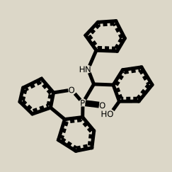 O=P1(C(Nc2ccccc2)c2ccccc2O)Oc2ccccc2-c2ccccc21